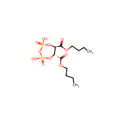 CCCCOC(=O)[C@@H]1OP(=O)(O)OP(=O)(O)O[C@H]1C(=O)OCCCC